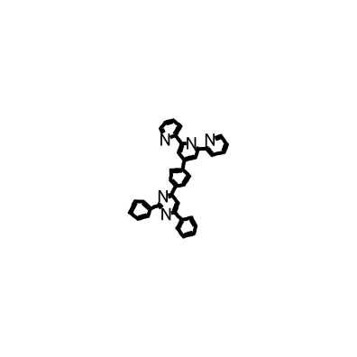 c1ccc(-c2cc(-c3ccc(-c4cc(-c5ccccn5)nc(-c5ccccn5)c4)cc3)nc(-c3ccccc3)n2)cc1